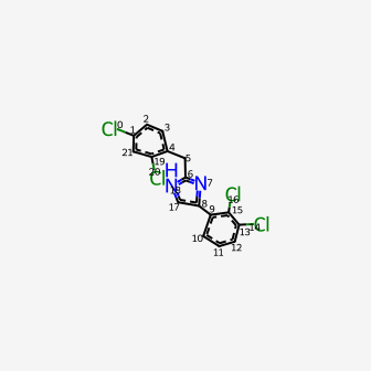 Clc1ccc(Cc2nc(-c3cccc(Cl)c3Cl)c[nH]2)c(Cl)c1